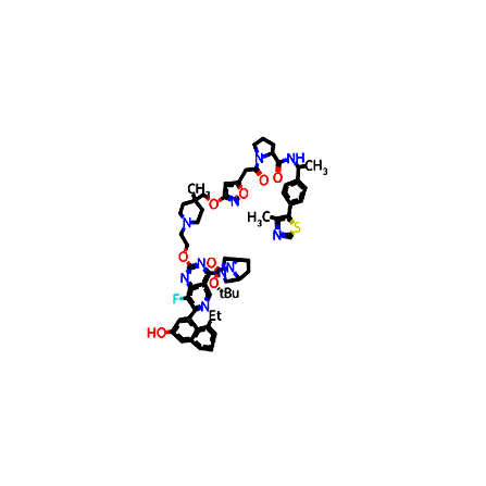 CCc1cccc2cc(O)cc(-c3ncc4c(N5CC6CCC(C5)N6C(=O)OC(C)(C)C)nc(OCCN5CCC(C)(COc6cc(CC(=O)N7CCCC7C(=O)NC(C)c7ccc(-c8scnc8C)cc7)on6)CC5)nc4c3F)c12